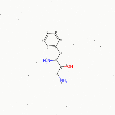 NCC(O)C(N)Cc1ccccc1